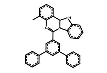 Cc1cccc2c1N=C(c1cc(-c3ccccc3)cc(-c3ccccc3)c1)N1c3ccccc3NC21